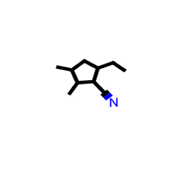 CCC1CC(C)C(C)C1C#N